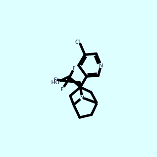 OCC1(c2cncc(Cl)c2)CC2CCC(C1)N2CC(F)(F)F